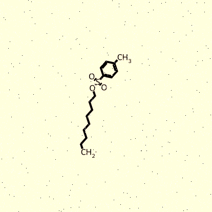 [CH2]CCCCCCCCOS(=O)(=O)c1ccc(C)cc1